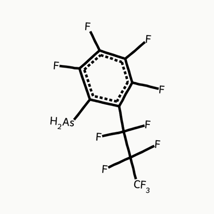 Fc1c(F)c(F)c(C(F)(F)C(F)(F)C(F)(F)F)c([AsH2])c1F